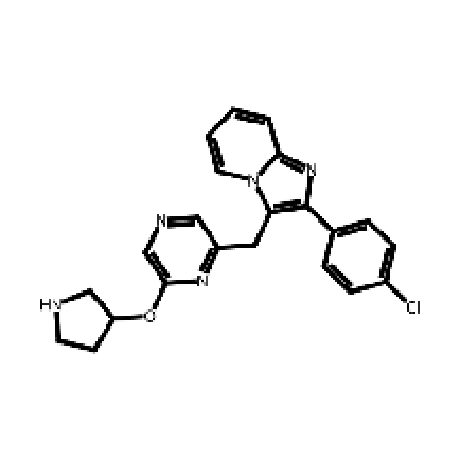 Clc1ccc(-c2nc3ccccn3c2Cc2cncc(OC3CCNC3)n2)cc1